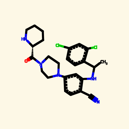 CC(Nc1cc(N2CCN(C(=O)[C@H]3CCCCN3)CC2)ccc1C#N)c1ccc(Cl)cc1Cl